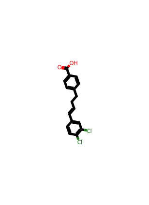 O=C(O)c1ccc(CCC=Cc2ccc(Cl)c(Cl)c2)cc1